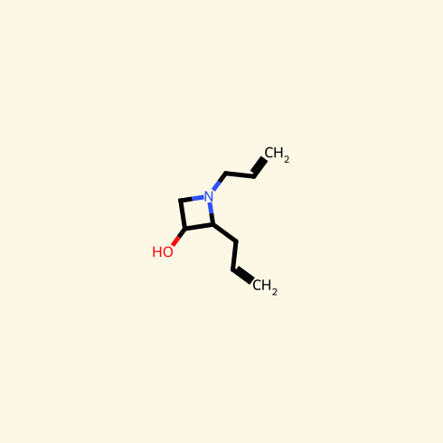 C=CCC1C(O)CN1CC=C